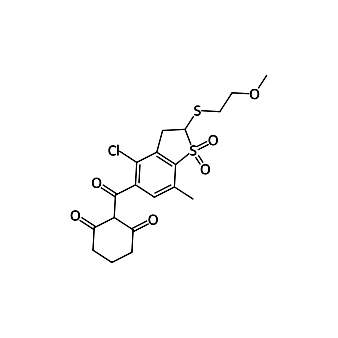 COCCSC1Cc2c(Cl)c(C(=O)C3C(=O)CCCC3=O)cc(C)c2S1(=O)=O